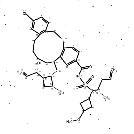 C=CC[C@H](C)N(C1CC(OC)C1)S(=O)(=O)NC(=O)c1ccc2c(c1)N(C[C@H]1[C@H]([C@@H](O)C=C)C[C@H]1C)CCCCc1cc(Cl)ccc1CO2